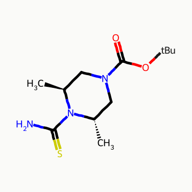 C[C@H]1CN(C(=O)OC(C)(C)C)C[C@H](C)N1C(N)=S